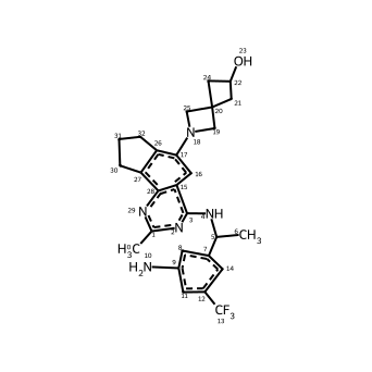 Cc1nc(NC(C)c2cc(N)cc(C(F)(F)F)c2)c2cc(N3CC4(CC(O)C4)C3)c3c(c2n1)CCC3